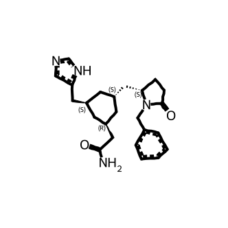 NC(=O)C[C@H]1C[C@@H](Cc2cnc[nH]2)C[C@H](C[C@@H]2CCC(=O)N2Cc2ccccc2)C1